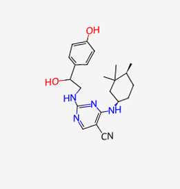 C[C@H]1CC[C@@H](Nc2nc(NCC(O)c3ccc(O)cc3)ncc2C#N)CC1(C)C